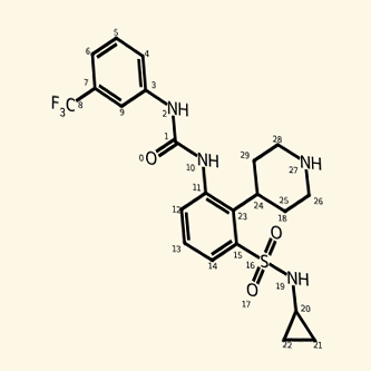 O=C(Nc1cccc(C(F)(F)F)c1)Nc1cccc(S(=O)(=O)NC2CC2)c1C1CCNCC1